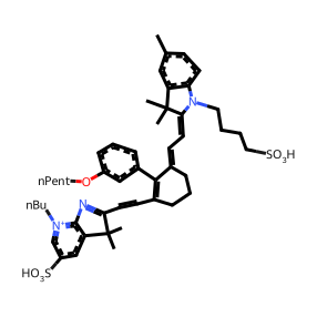 CCCCCOc1cccc(C2=C(/C=C/C3=Nc4c(cc(S(=O)(=O)O)c[n+]4CCCC)C3(C)C)CCC/C2=C\C=C2\N(CCCCS(=O)(=O)O)c3ccc(C)cc3C2(C)C)c1